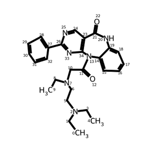 CCN(CC)CCN(CC)CC(=O)N1c2ccccc2NC(=O)c2cnc(-c3ccccc3)nc21